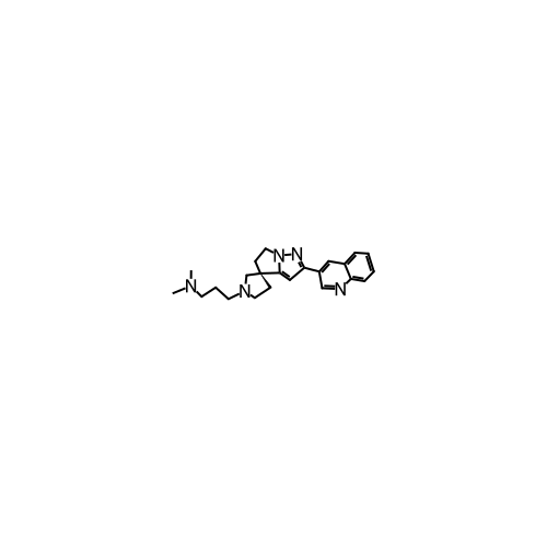 CN(C)CCCN1CC[C@]2(CCn3nc(-c4cnc5ccccc5c4)cc32)C1